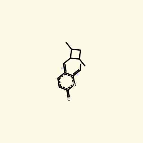 C/C=c1/oc(=O)cc/c1=C/C1C(C)CC1C